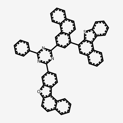 c1ccc(-c2nc(-c3ccc4c(c3)oc3ccc5ccccc5c34)nc(-c3cc(-c4cc5ccccc5c5c4sc4ccccc45)c4ccc5ccccc5c4c3)n2)cc1